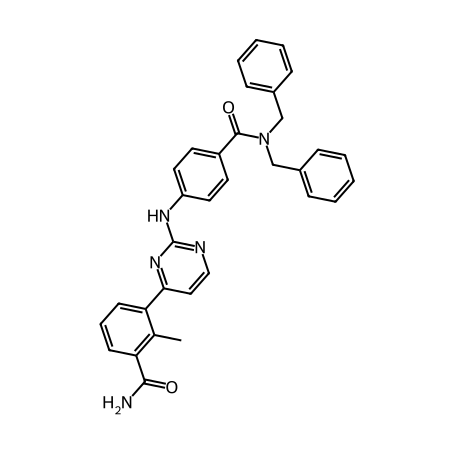 Cc1c(C(N)=O)cccc1-c1ccnc(Nc2ccc(C(=O)N(Cc3ccccc3)Cc3ccccc3)cc2)n1